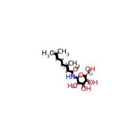 CC(C)=CCC/C(C)=C/C(=O)NC1O[C@H](CO)[C@H](O)[C@H](O)[C@H]1O